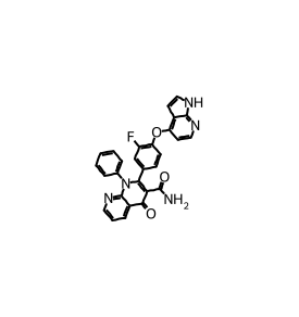 NC(=O)c1c(-c2ccc(Oc3ccnc4[nH]ccc34)c(F)c2)n(-c2ccccc2)c2ncccc2c1=O